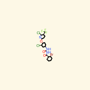 O=C(NC(=O)c1ccccc1Br)Nc1ccc(Oc2ccc(C(F)(F)F)c(Cl)n2)c(Cl)c1